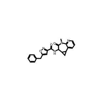 CN1C(=O)C(NC(=O)c2cc(Cc3ccccc3)on2)C2CC2c2cccnc21